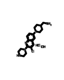 Cl.Cl.NCC1CCN(c2ccc3nc(N4CCNCC4)c(Cl)cc3c2)CC1